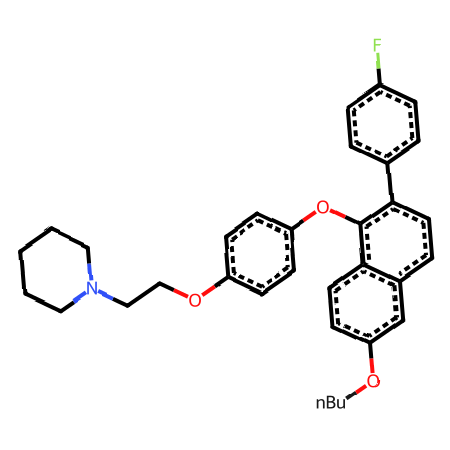 CCCCOc1ccc2c(Oc3ccc(OCCN4CCCCC4)cc3)c(-c3ccc(F)cc3)ccc2c1